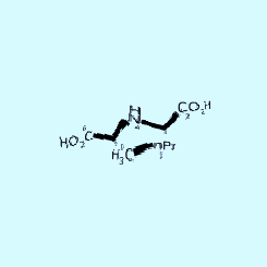 CCCC.O=C(O)CNCC(=O)O